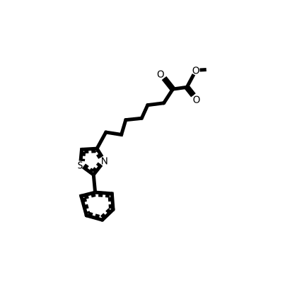 COC(=O)C(=O)CCCCCCc1csc(-c2ccccc2)n1